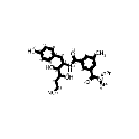 CCCN(CCC)C(=O)c1cc(C)cc(C(=O)NC(Cc2ccc(O)cc2)C(O)C(O)CCC#N)c1